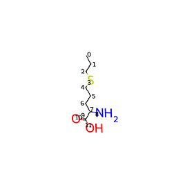 CCCSCCCC(N)C(=O)O